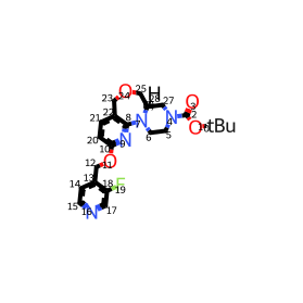 CC(C)(C)OC(=O)N1CCN2c3nc(OCc4ccncc4F)ccc3COC[C@H]2C1